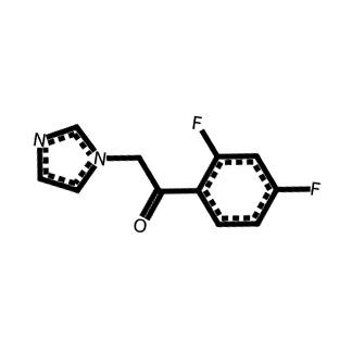 O=C(Cn1ccnc1)c1ccc(F)cc1F